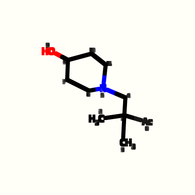 CC(=O)C(C)(C)CN1CCC(O)CC1